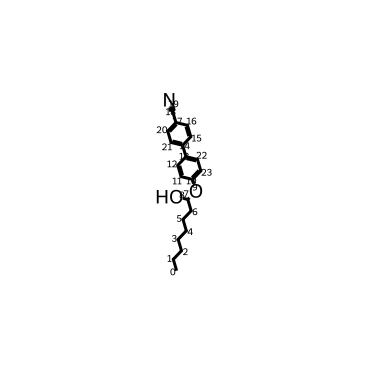 CCCCCCCC(O)Oc1ccc(-c2ccc(C#N)cc2)cc1